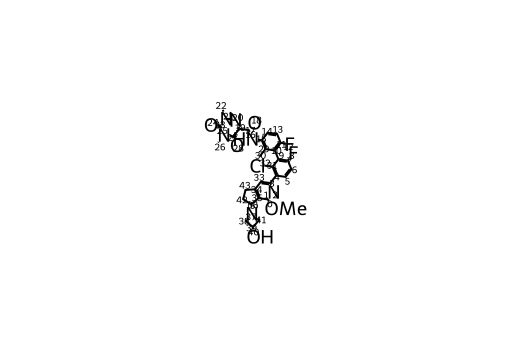 COc1nc(-c2ccc(F)c(-c3c(F)ccc(NC(=O)c4nn(C)c(=O)n(C)c4=O)c3C)c2Cl)cc2c1[C@@H](N1CC(O)C1)CC2